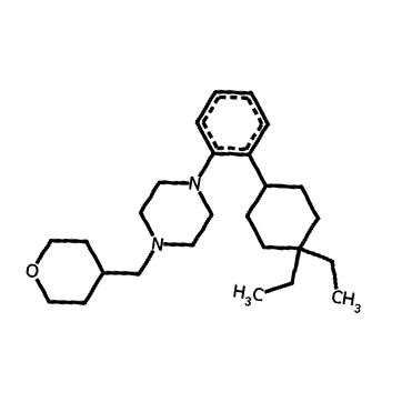 CCC1(CC)CCC(c2ccccc2N2CCN(CC3CCOCC3)CC2)CC1